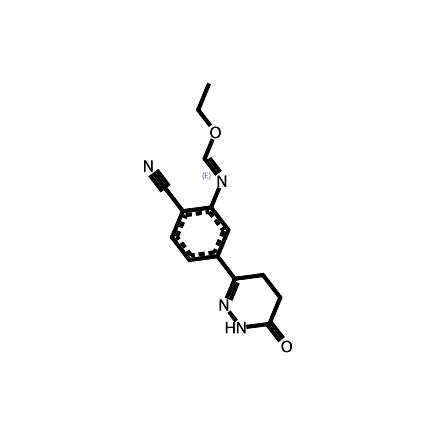 CCO/C=N/c1cc(C2=NNC(=O)CC2)ccc1C#N